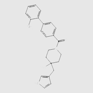 Nc1ccccc1-c1ccc(C(=O)N2CCC(O)(Cc3cc[nH]c3)CC2)cc1